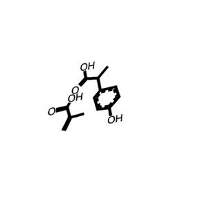 C=C(C)C(=O)O.CC(C(=O)O)c1ccc(O)cc1